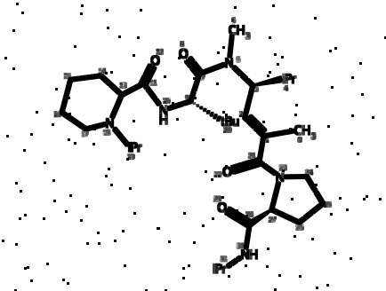 C/C(=C\[C@H](C(C)C)N(C)C(=O)[C@@H](NC(=O)C1CCCCN1C(C)C)C(C)(C)C)C(=O)N1CCC[C@H]1C(=O)NC(C)C